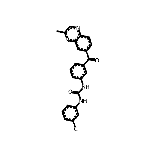 Cc1cnc2ccc(C(=O)c3cccc(NC(=O)Nc4cccc(Cl)c4)c3)cc2n1